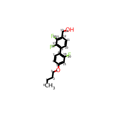 CCCCOc1ccc(-c2ccc(CO)c(F)c2F)c(F)c1